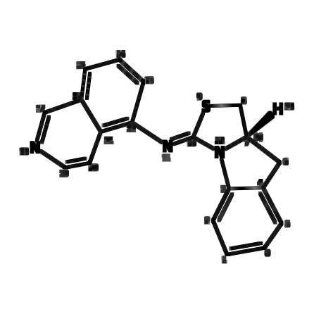 c1ccc2c(c1)C[C@H]1CSC(=Nc3cccc4cnccc34)N21